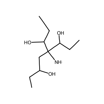 CCC(O)CC([NH])(C(O)CC)C(O)CC